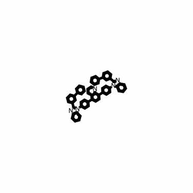 c1ccc(-c2cccc(-c3nc4ccccc4n3-c3ccc(-c4ccc(-c5ccc(-n6c(-c7cccc(-c8ccccc8)c7)nc7ccccc76)cc5)c5ncccc45)cc3)c2)cc1